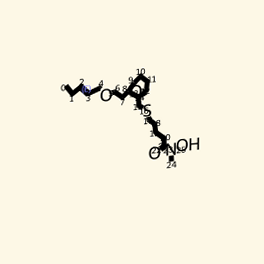 CC/C=C/COCCC1C2CCC(O2)C1CSCCCCC(=O)N(C)O